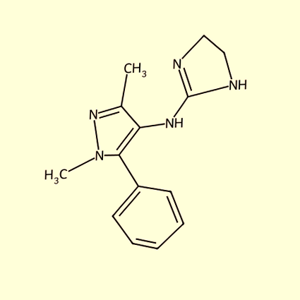 Cc1nn(C)c(-c2ccccc2)c1NC1=NCCN1